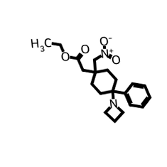 CCOC(=O)CC1(C[N+](=O)[O-])CCC(c2ccccc2)(N2CCC2)CC1